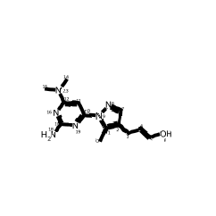 Cc1c(CC=CO)cnn1-c1cc(N(C)C)nc(N)n1